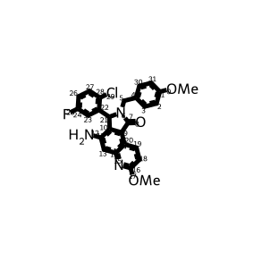 COc1ccc(CN2C(=O)c3c(c(N)cc4nc(OC)ccc34)C2c2cc(F)ccc2Cl)cc1